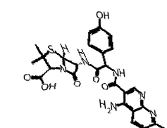 Cc1ccc2c(N)c(C(=O)NC(C(=O)N[C@@H]3C(=O)N4[C@@H]3SC(C)(C)[C@@H]4C(=O)O)c3ccc(O)cc3)cnc2n1